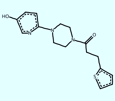 O=C(CCc1cccs1)N1CCN(c2ccc(O)cn2)CC1